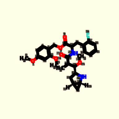 COc1ccc(COC(=O)C(Cc2ccccc2F)NC(=O)C(C)C(OC)[C@@H]2C[C@@H]3C[C@@H]3N2)c(OC)c1